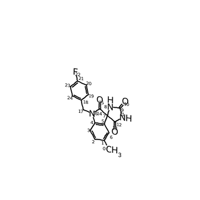 Cc1ccc2c(c1)C1(NC(=O)NC1=O)C(=O)N2Cc1ccc(F)cc1